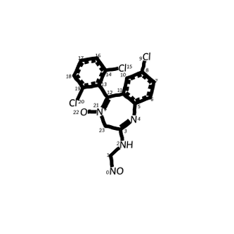 O=NCNC1=Nc2ccc(Cl)cc2C(c2c(Cl)cccc2Cl)=[N+]([O-])C1